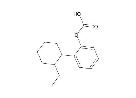 CCC1CCCCC1c1ccccc1OC(=O)O